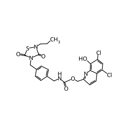 CCCn1sc(=O)n(Cc2ccc(CNC(=O)OCc3ccc4c(Cl)cc(Cl)c(O)c4n3)cc2)c1=O